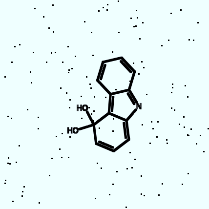 OC1(O)C=CC=C2N=c3ccccc3=C21